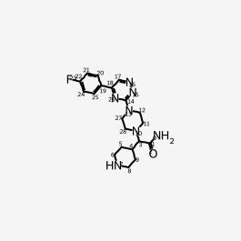 NC(=O)C(C1CCNCC1)N1CCN(c2nncc(-c3ccc(F)cc3)n2)CC1